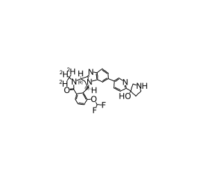 [2H]C([2H])([2H])N1C(=O)c2cccc(OC(F)F)c2[C@H]2C[C@@H]1c1nc3ccc(-c4ccc(C5(O)CCNC5)nc4)cc3n12